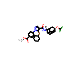 COC(=O)c1ccc(-n2ncc(C(=O)N[C@H]3C4CC5CC3C[C@@](OC(F)F)(C5)C4)c2SC2CCCCC2)cc1